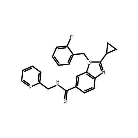 O=C(NCc1ccccn1)c1ccc2nc(C3CC3)n(Cc3ccccc3Cl)c2c1